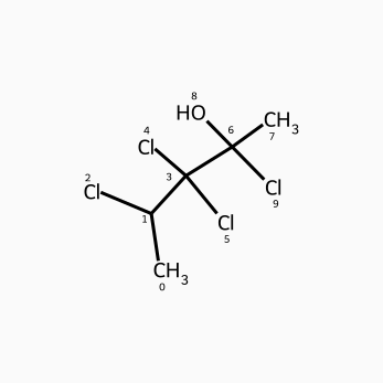 CC(Cl)C(Cl)(Cl)C(C)(O)Cl